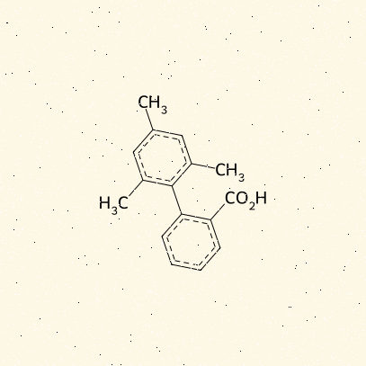 Cc1cc(C)c(-c2ccccc2C(=O)O)c(C)c1